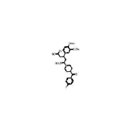 CCCCCCCCC(CC(CC(C#N)CC)c1ccc(OC)c(OC)c1)N1CCC(C(=O)c2ccc(F)cc2)CC1